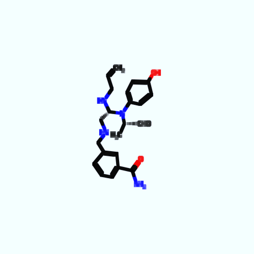 C=CCN[C@@H](CNCc1cccc(C(N)=O)c1)N(c1ccc(O)cc1)[C@@H](C)C=O